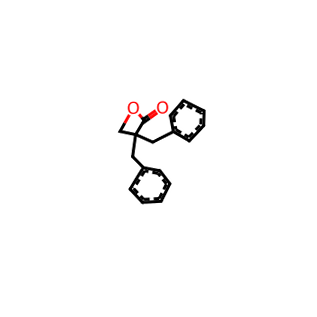 O=C1OCC1(Cc1ccccc1)Cc1ccccc1